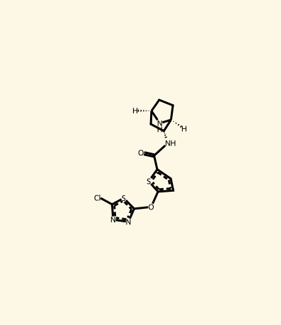 O=C(N[C@@H]1C[C@H]2CC[C@@H]1N2)c1ccc(Oc2nnc(Cl)s2)s1